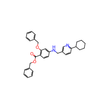 O=C(OCc1ccccc1)c1ccc(NCc2ccc(C3CCCCC3)nc2)cc1OCc1ccccc1